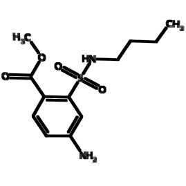 CCCCNS(=O)(=O)c1cc(N)ccc1C(=O)OC